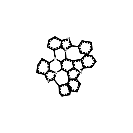 c1ccc(-c2nc3cccc4c3n2-c2c3c(c5c6ccccc6n6c7ccccc7c2c56)-n2c(-c5ccccc5)nc5cccc(c52)B34)cc1